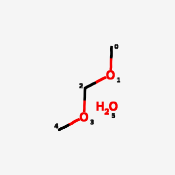 COCOC.O